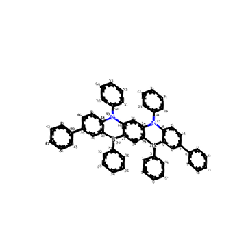 c1ccc(B2c3cc(-c4ccccc4)ccc3N(c3ccccc3)c3cc4c(cc32)B(c2ccccc2)c2cc(-c3ccccc3)ccc2N4c2ccccc2)cc1